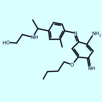 CCCCOC1=CC(=Nc2ccc(C(C)NCCO)cc2C)C(N)=CC1=N